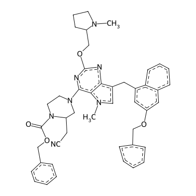 CN1CCCC1COc1nc(N2CCN(C(=O)OCc3ccccc3)C(CC#N)C2)c2c(n1)c(Cc1cc(OCc3ccccc3)cc3ccccc13)cn2C